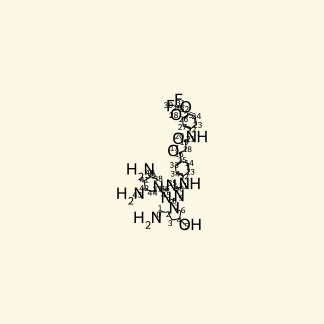 NC[C@@H]1C[C@H](O)CN1c1nc(Nc2ccc(C(=O)CC(=O)Nc3ccc4c(c3)OC(F)(F)O4)cc2)nc(N2C[C@H](N)C[C@H](N)C2)n1